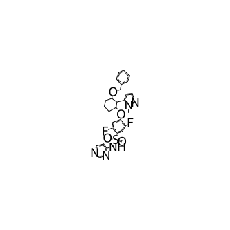 Cn1nccc1C1C(OCc2ccccc2)CCCC1Oc1cc(F)c(S(=O)(=O)Nc2ccncn2)cc1F